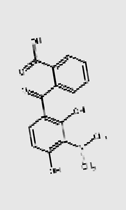 CN(C)c1c(O)ccc(C(=O)c2ccccc2C(=O)O)c1O